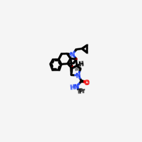 CC(C)NC(=O)N1C[C@H]2CC34CCC1C2C31CCN(CC2CC2)C4Cc2ccccc21